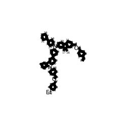 C=Cc1ccc(COCc2ccc3c(c2)C(C)(C)c2cc(N(c4ccc(-c5ccccc5)cc4)c4ccc(-c5ccc6c(c5)c5ccccc5n6-c5ccc(COCc6ccc(CC)cc6)cc5)cc4)ccc2-3)cc1